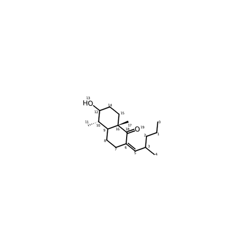 CCCC(C)/C=C1/CCC2[C@H](C)C(O)CC[C@]2(C)C1=O